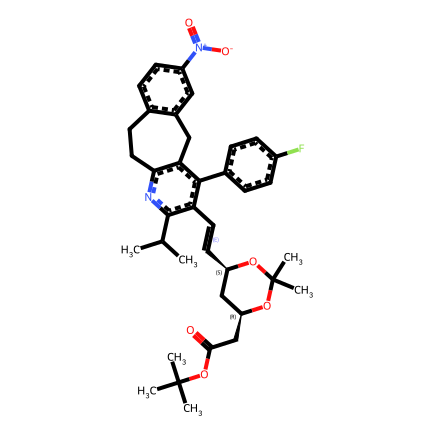 CC(C)c1nc2c(c(-c3ccc(F)cc3)c1/C=C/[C@@H]1C[C@H](CC(=O)OC(C)(C)C)OC(C)(C)O1)Cc1cc([N+](=O)[O-])ccc1CC2